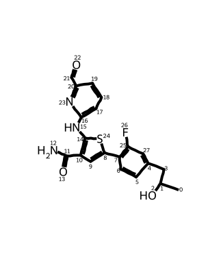 CC(O)Cc1ccc(-c2cc(C(N)=O)c(Nc3cccc(C=O)n3)s2)c(F)c1